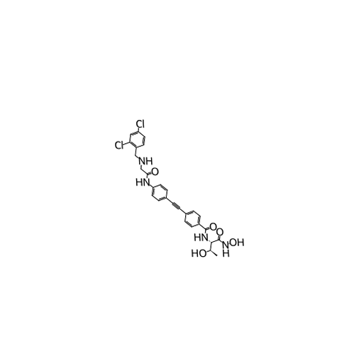 C[C@@H](O)[C@H](NC(=O)c1ccc(C#Cc2ccc(NC(=O)CNCc3ccc(Cl)cc3Cl)cc2)cc1)C(=O)NO